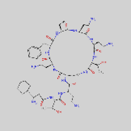 CC(C)C[C@@H]1NC(=O)[C@@H](Cc2ccccc2)NC(=O)[C@H](CCN)NC(=O)[C@@H](NC(=O)[C@H](CCN)NC(=O)[C@@H](NC(=O)CC(N)C2CCCCC2)C(C)O)CCNC(=O)[C@H](C(C)O)NC(=O)[C@H](CCN)NC(=O)[C@H](CCN)NC1=O